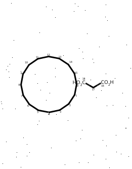 C1CCCCCCCCCCCCCCC1.O=C(O)CC(=O)O